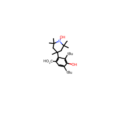 CC(C)(C)c1cc(C(=O)O)c(C2(C)CC(C)(C)N(O)C(C)(C)C2)c(C(C)(C)C)c1O